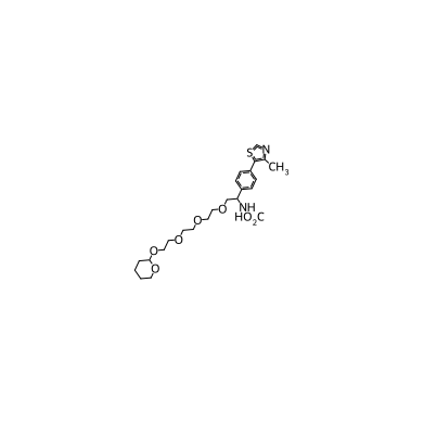 Cc1ncsc1-c1ccc(C(COCCOCCOCCOC2CCCCO2)NC(=O)O)cc1